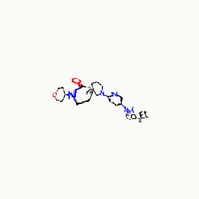 CCOC(=O)Nc1ccc(N2CCC[C@]3(CCN(C4CCOCC4)C3=O)C2)nc1